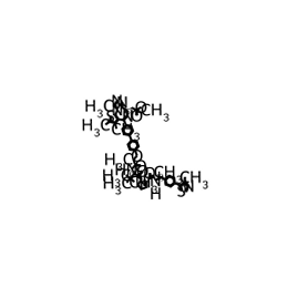 COC(=O)C[C@@H]1N=C(c2ccc(-c3ccc(OC(C)C(=O)N[C@H](C(=O)N4CCC[C@H]4C(=O)N[C@@H](C)c4ccc(-c5scnc5C)cc4)C(C)(C)C)cc3)cc2)c2c(sc(C)c2C)-n2c(C)nnc21